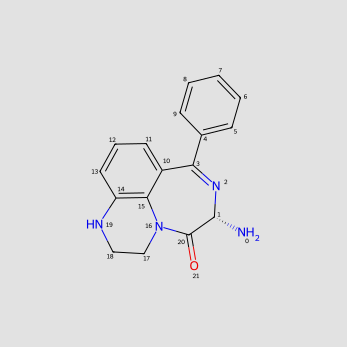 N[C@H]1N=C(c2ccccc2)c2cccc3c2N(CCN3)C1=O